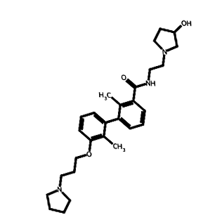 Cc1c(OCCCN2CCCC2)cccc1-c1cccc(C(=O)NCCN2CCC(O)C2)c1C